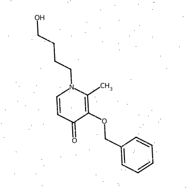 Cc1c(OCc2ccccc2)c(=O)ccn1CCCCO